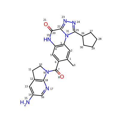 Cc1cc2c(cc1C(=O)N1CCc3cc(N)cnc31)[nH]c(=O)c1nnc(C3CCCC3)n12